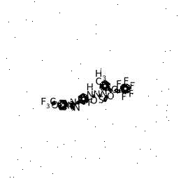 Cc1ccc(COCc2c(F)c(F)c(F)c(F)c2F)c(N2C(=O)CSC2=NC(=O)Nc2ccc(-c3ncn(-c4ccc(OC(F)(F)F)cc4)n3)cc2F)c1